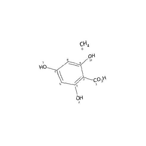 C.O=C(O)c1c(O)cc(O)cc1O